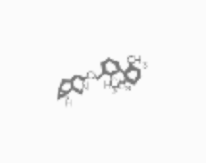 Cc1cccc(C)c1-c1cccc(COc2cc3c(cn2)[C@@H]2CC2C3)c1C